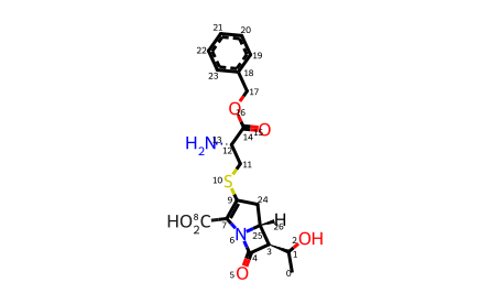 CC(O)[C@H]1C(=O)N2C(C(=O)O)=C(SC[C@H](N)C(=O)OCc3ccccc3)C[C@H]12